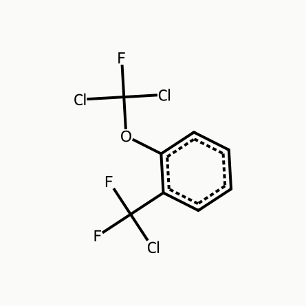 FC(Cl)(Cl)Oc1ccccc1C(F)(F)Cl